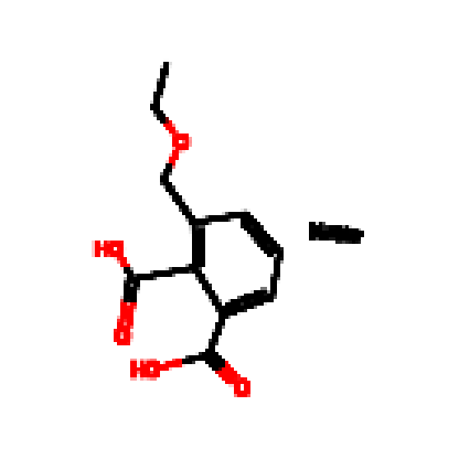 CCOCc1cccc(C(=O)O)c1C(=O)O.[Na].[Na]